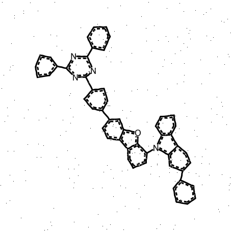 c1ccc(-c2ccc3c4ccccc4n(-c4cccc5c4oc4cc(-c6ccc(-c7nc(-c8ccccc8)nc(-c8ccccc8)n7)cc6)ccc45)c3c2)cc1